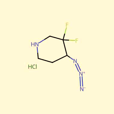 Cl.[N-]=[N+]=NC1CCNCC1(F)F